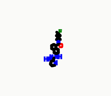 CC1(F)CC2(CN(C(=O)c3cccc4cc(Nc5n[nH]c6cccnc56)ccc34)C2)C1